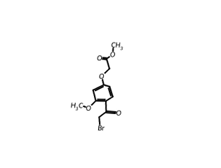 COC(=O)COc1ccc(C(=O)CBr)c(OC)c1